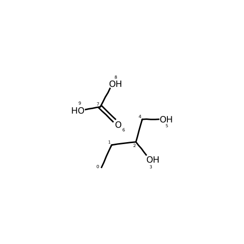 CCC(O)CO.O=C(O)O